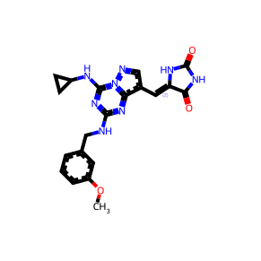 COc1cccc(CNc2nc(NC3CC3)n3ncc(/C=C4\NC(=O)NC4=O)c3n2)c1